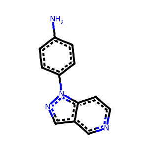 Nc1ccc(-n2ncc3cnccc32)cc1